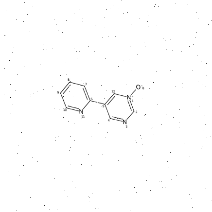 [O-][n+]1cncc(-c2ccccn2)c1